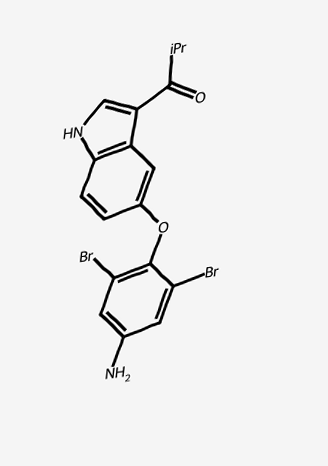 CC(C)C(=O)c1c[nH]c2ccc(Oc3c(Br)cc(N)cc3Br)cc12